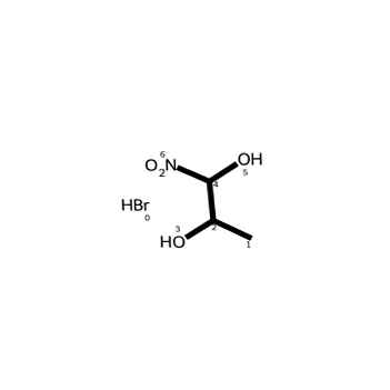 Br.CC(O)C(O)[N+](=O)[O-]